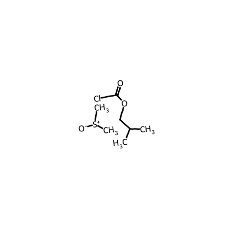 CC(C)COC(=O)Cl.C[S+](C)[O-]